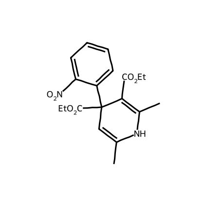 CCOC(=O)C1=C(C)NC(C)=CC1(C(=O)OCC)c1ccccc1[N+](=O)[O-]